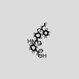 CCCC(Oc1ccc(C(=O)Nc2cccc(C(=O)CO)c2)cc1)c1ccccc1